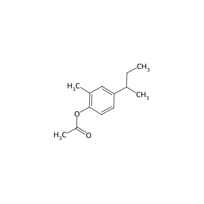 CCC(C)c1ccc(OC(C)=O)c(C)c1